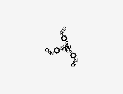 O=C=Nc1ccc(SOP(=O)(OSc2ccc(N=C=O)cc2)OSc2ccc(N=C=O)cc2)cc1